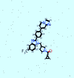 O=C(C1CC1)N1CCC(Cn2c(-c3ccc(-c4ccn5ccnc5c4)cc3)nc3cc(C(F)(F)F)ccc32)C1